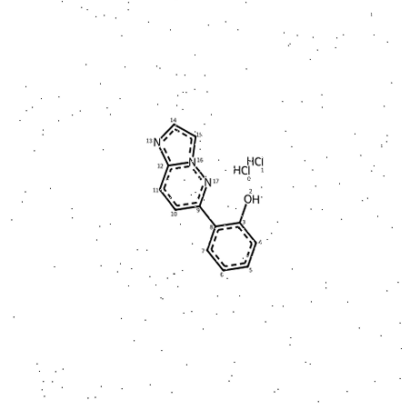 Cl.Cl.Oc1ccccc1-c1ccc2nccn2n1